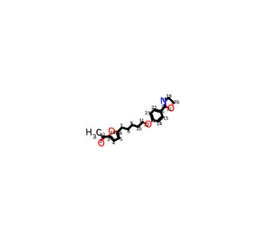 CC(=O)c1ccc(CCCCCOc2ccc(C3=NCCO3)cc2)o1